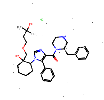 CC(C)(O)CCOCC1(O)CCCCC1n1cnc(C(=O)N2CCNC[C@H]2Cc2ccccc2)c1-c1ccccc1.Cl